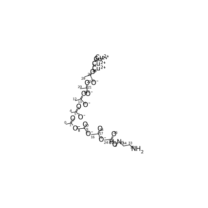 CC(=O)[O-].CC(=O)[O-].CC(=O)[O-].CC(=O)[O-].CC(=O)[O-].CC(=O)[O-].CC(=O)[O-].CC(=O)[O-].NCCN.[Cu+2].[Cu+2].[Cu+2].[Cu+2]